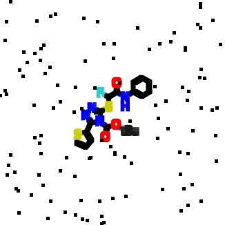 CC(C)(C)OC(=O)n1c(SC(F)C(=O)Nc2ccccc2)nnc1-c1cccs1